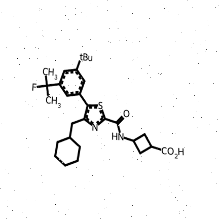 CC(C)(C)c1cc(-c2sc(C(=O)NC3CC(C(=O)O)C3)nc2CC2CCCCC2)cc(C(C)(C)F)c1